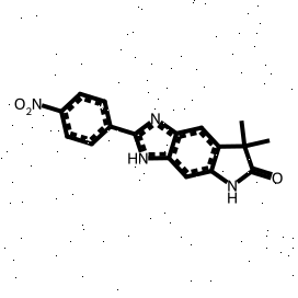 CC1(C)C(=O)Nc2cc3[nH]c(-c4ccc([N+](=O)[O-])cc4)nc3cc21